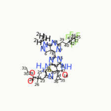 [2H]C([2H])([2H])n1ncc2c(-c3nc(N)c4c(n3)NC(=O)C4(c3nc(CC(C)(C)C(=O)OCC)cs3)C3CC3)nc(CCC(F)(F)C(F)(F)F)nc21